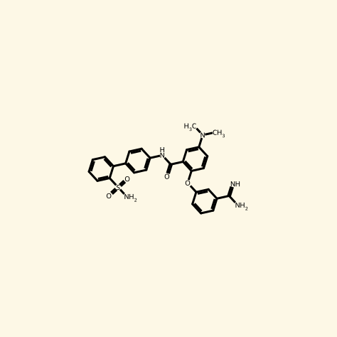 CN(C)c1ccc(Oc2cccc(C(=N)N)c2)c(C(=O)Nc2ccc(-c3ccccc3S(N)(=O)=O)cc2)c1